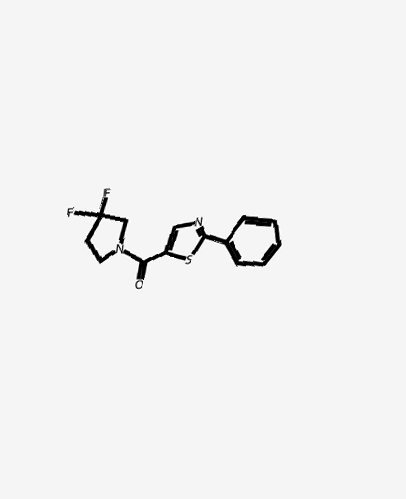 O=C(c1cnc(-c2ccccc2)s1)N1CCC(F)(F)C1